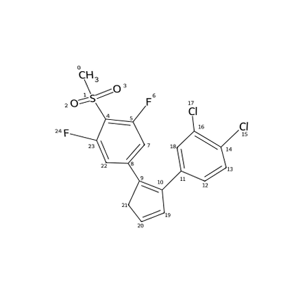 CS(=O)(=O)c1c(F)cc(C2=C(c3ccc(Cl)c(Cl)c3)C=CC2)cc1F